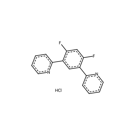 Cl.Fc1cc(F)c(-c2ccccn2)cc1-c1ccccn1